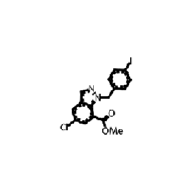 COC(=O)c1cc(Cl)cc2cnn(Cc3ccc(I)cc3)c12